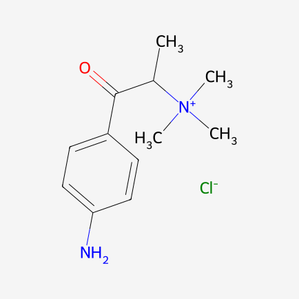 CC(C(=O)c1ccc(N)cc1)[N+](C)(C)C.[Cl-]